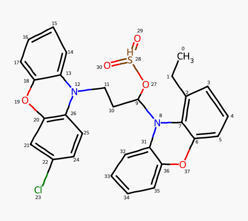 CCc1cccc2c1N(C(CCN1c3ccccc3Oc3cc(Cl)ccc31)O[SH](=O)=O)c1ccccc1O2